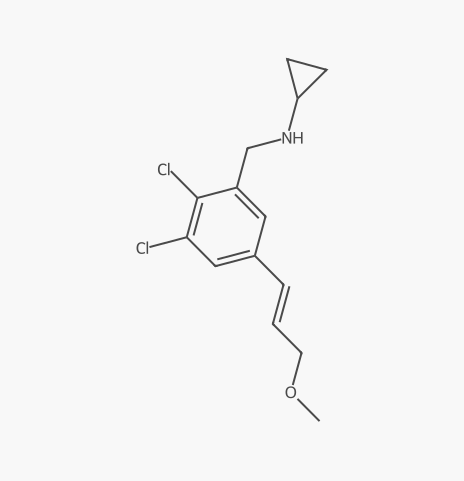 COC/C=C/c1cc(Cl)c(Cl)c(CNC2CC2)c1